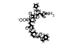 Nc1nc(/C(=N/OC2CCCC2)C(=O)N[C@@H]2C(=O)N3C(C(=O)[O-])=C(/C=C4\CCN(Cc5cc[n+](CC(=O)N6CCc7ccccc76)cc5)C4=O)CS[C@H]23)cs1